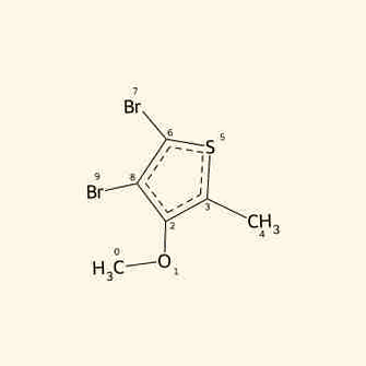 COc1c(C)sc(Br)c1Br